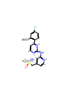 COc1cc(F)ccc1-c1ccnc(Nc2cc(CS(C)(=N)=O)ccn2)n1